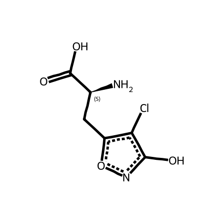 N[C@@H](Cc1onc(O)c1Cl)C(=O)O